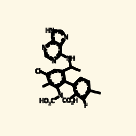 Cc1ccc(-c2c(C(C)Nc3ncnc4[nH]cnc34)cc(Cl)c(C)c2N(C(=O)O)C(=O)O)c(C)c1F